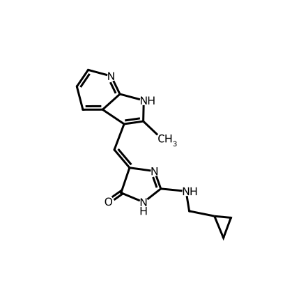 Cc1[nH]c2ncccc2c1C=C1N=C(NCC2CC2)NC1=O